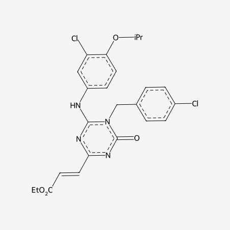 CCOC(=O)C=Cc1nc(Nc2ccc(OC(C)C)c(Cl)c2)n(Cc2ccc(Cl)cc2)c(=O)n1